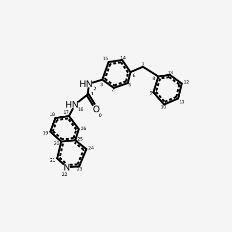 O=C(Nc1ccc(Cc2ccccc2)cc1)Nc1ccc2cnccc2c1